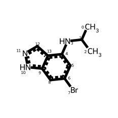 CC(C)Nc1cc(Br)cc2[nH]ncc12